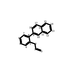 C=CCc1ccccc1-c1[c]c2ccccc2cc1